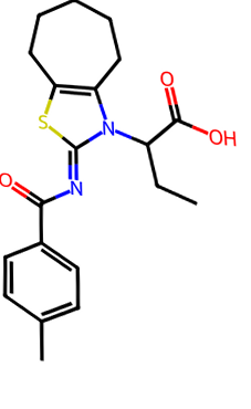 CCC(C(=O)O)n1c2c(sc1=NC(=O)c1ccc(C)cc1)CCCCC2